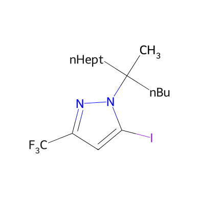 CCCCCCCC(C)(CCCC)n1nc(C(F)(F)F)cc1I